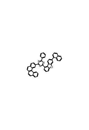 c1ccc(-c2nc(-c3ccc4ccc5ccc6ccccc6c5c4c3)nc(-c3cccc4oc5cc(-c6cccc7ccccc67)ccc5c34)n2)cc1